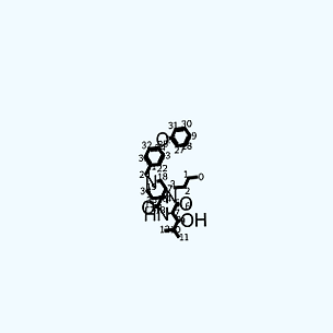 CCCCN1C(=O)[C@@H]([C@@H](O)C(C)C)NC(=O)C12CCN(Cc1ccc(Oc3ccccc3)cc1)CC2